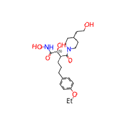 CCOc1ccc(CCCC(C(=O)N2CCC(CCO)CC2)[C@H](O)C(=O)NO)cc1